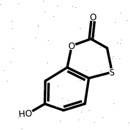 O=C1CSc2ccc(O)cc2O1